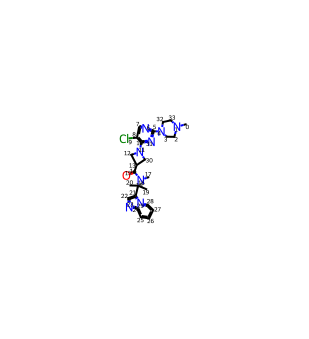 CN1CCN(c2ncc(Cl)c(N3CC(C(=O)N(C)C(C)(C)c4cnc5ccccn45)C3)n2)CC1